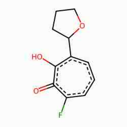 O=c1c(F)cccc(C2CCCO2)c1O